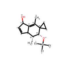 CC[Si](CC)(CC)O[C@@H]1[C@H](C)C2C=CC(O)C2=C(C)C12CC2